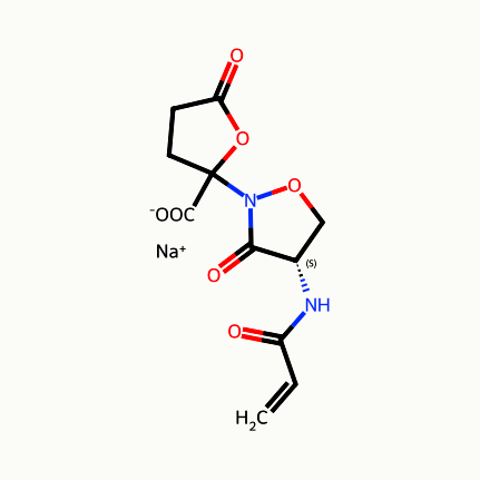 C=CC(=O)N[C@H]1CON(C2(C(=O)[O-])CCC(=O)O2)C1=O.[Na+]